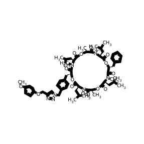 COc1ccc(OCc2cn(Cc3ccc(C[C@H]4OC(=O)[C@H](CC(C)C)N(C)C(=O)[C@@H](C)OC(=O)[C@H](CC(C)C)N(C)C(=O)[C@@H](Cc5ccccc5)OC(=O)[C@H](CC(C)C)N(C)C(=O)[C@@H](C)OC(=O)[C@H](CC(C)C)N(C)C4=O)cc3)nn2)cc1